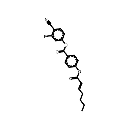 CCCCC=CC(=O)Oc1ccc(C(=O)Oc2ccc(C#N)c(F)c2)cc1